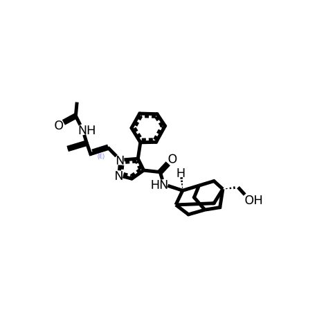 C=C(/C=C/n1ncc(C(=O)N[C@H]2C3CC4CC2C[C@](CO)(C4)C3)c1-c1ccccc1)NC(C)=O